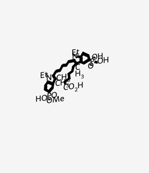 CCN1/C(=C/C=C/C=C/C2=[N+](CC)c3ccc(P(=O)(O)OC)cc3C2(C)C)C(C)(CCCCCC(=O)O)c2cc(P(=O)(O)CO)ccc21